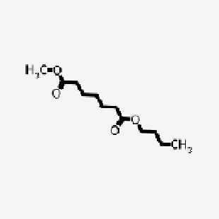 CCCCOC(=O)C[CH]CCCC(=O)OC